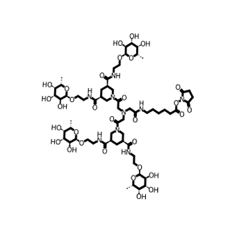 C[C@@H]1O[C@@H](OCCNC(=O)[C@@H]2C[C@H](C(=O)NCCO[C@@H]3O[C@@H](C)[C@@H](O)[C@@H](O)[C@@H]3O)CN(C(=O)CN(CC(=O)NCCCCCC(=O)ON3C(=O)CCC3=O)CC(=O)N3C[C@H](C(=O)NCCO[C@@H]4O[C@@H](C)[C@@H](O)[C@@H](O)[C@@H]4O)C[C@H](C(=O)NCCO[C@@H]4O[C@@H](C)[C@@H](O)[C@@H](O)[C@@H]4O)C3)C2)[C@@H](O)[C@H](O)[C@@H]1O